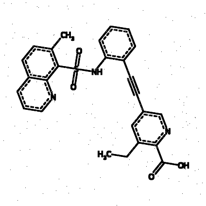 CCc1cc(C#Cc2ccccc2NS(=O)(=O)c2c(C)ccc3cccnc23)cnc1C(=O)O